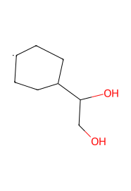 OCC(O)C1CC[CH]CC1